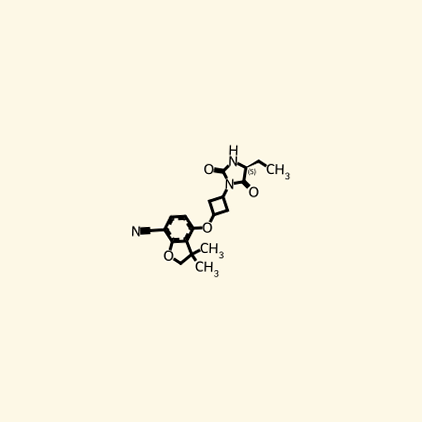 CC[C@@H]1NC(=O)N(C2CC(Oc3ccc(C#N)c4c3C(C)(C)CO4)C2)C1=O